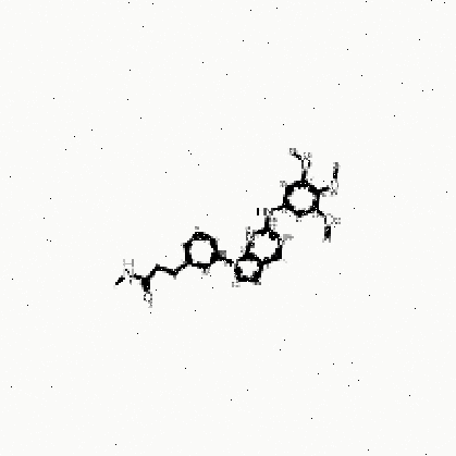 CNC(=O)CCc1cccc(-n2ccc3cnc(Nc4cc(OC)c(OC)c(OC)c4)nc32)c1